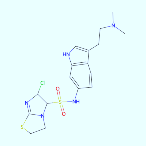 CN(C)CCc1c[nH]c2cc(NS(=O)(=O)C3C(Cl)N=C4SCCN43)ccc12